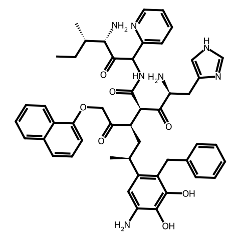 CC[C@H](C)[C@H](N)C(=O)C(NC(=O)[C@@H](C(=O)[C@@H](N)Cc1c[nH]cn1)[C@@H](C[C@H](C)c1cc(N)c(O)c(O)c1Cc1ccccc1)C(=O)COc1cccc2ccccc12)c1ccccn1